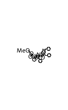 COCCOC(=O)N[C@H]1CCCC[C@@H]1n1cnc(C(=O)N2CCN(Cc3ccccc3)C[C@H]2Cc2ccccc2)c1-c1ccccc1